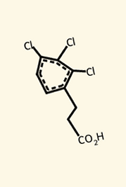 O=C(O)CCc1ccc(Cl)c(Cl)c1Cl